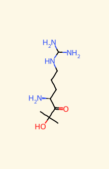 CC(C)(O)C(=O)[C@@H](N)CCCNC(N)N